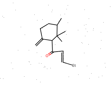 C=C1CCC(C)C(C)(C)C1C(=O)C=CCC